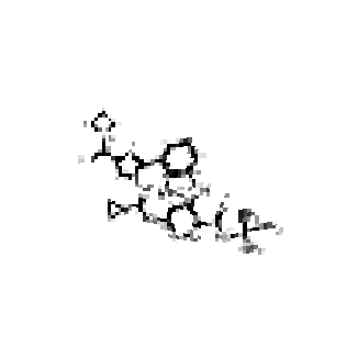 BC(B)(B)NC(=O)c1nnc(NC(=O)C2CC2)cc1Nc1cccc(-c2ncc(C(=O)N3CCC3)s2)c1OC